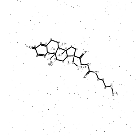 CCOC(=O)O[C@]1(C(=O)COC(=O)OCCCO[N+](=O)[O-])CC[C@H]2[C@@H]3CCC4=CC(=O)C=C[C@]4(C)[C@H]3[C@@H](O)C[C@@]21C